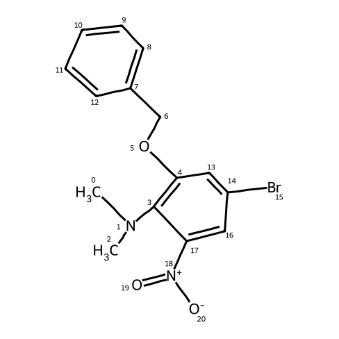 CN(C)c1c(OCc2ccccc2)cc(Br)cc1[N+](=O)[O-]